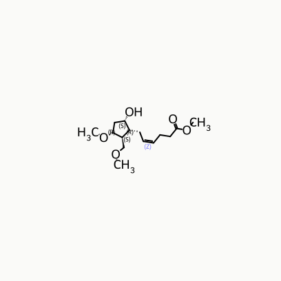 COC[C@@H]1[C@@H](C/C=C\CCC(=O)OC)[C@@H](O)C[C@H]1OC